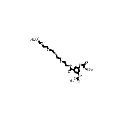 CC(C)(C)OC(=O)Nc1cc(NC(=O)OC(C)(C)C)cc(C(=O)NCCOCCOCCOCCOCC(=O)O)c1